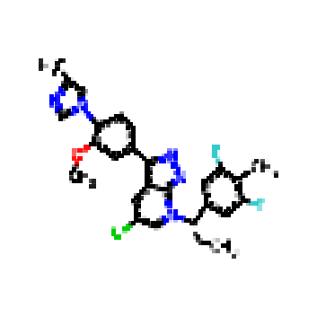 CC[C@@H](c1cc(F)c(C)c(F)c1)n1cc(Cl)cc2c(-c3ccc(-n4cnc(C)c4)c(OC)c3)nnc1-2